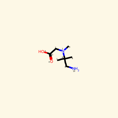 CN(CC(=O)O)C(C)(C)CN